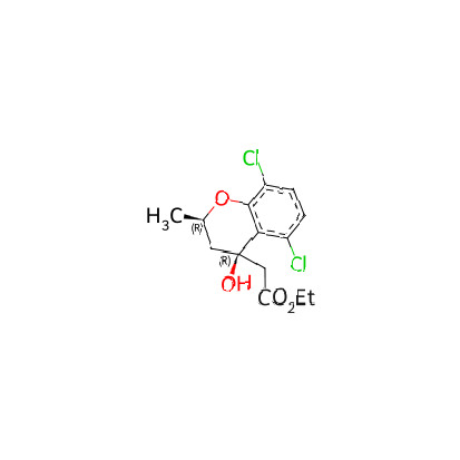 CCOC(=O)C[C@]1(O)C[C@@H](C)Oc2c(Cl)ccc(Cl)c21